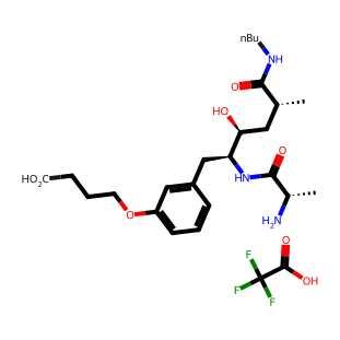 CCCCNC(=O)[C@H](C)C[C@H](O)[C@H](Cc1cccc(OCCCC(=O)O)c1)NC(=O)[C@H](C)N.O=C(O)C(F)(F)F